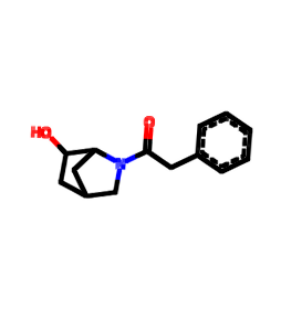 O=C(Cc1ccccc1)N1CC2CC(O)C1C2